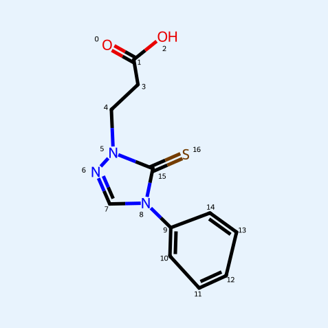 O=C(O)CCn1ncn(-c2ccccc2)c1=S